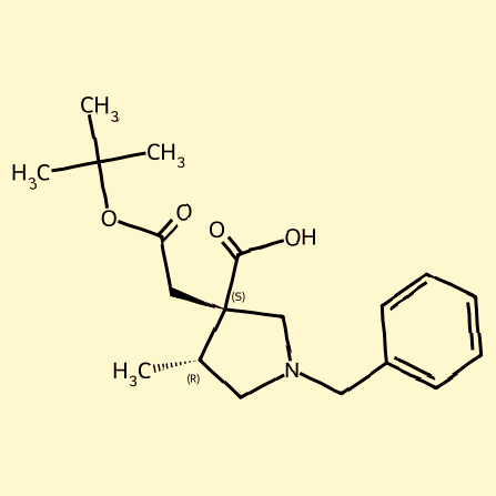 C[C@H]1CN(Cc2ccccc2)C[C@@]1(CC(=O)OC(C)(C)C)C(=O)O